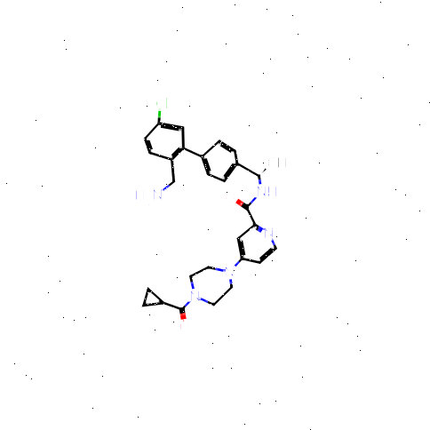 C[C@@H](NC(=O)c1cc(N2CCN(C(=O)C3CC3)CC2)ccn1)c1ccc(-c2cc(Cl)ccc2CN)cc1